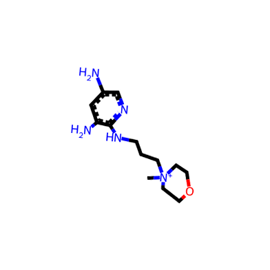 C[N+]1(CCCNc2ncc(N)cc2N)CCOCC1